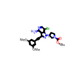 COc1cc(C#Cc2nn([C@H]3CCN(C(=O)OC(C)(C)C)C3)c3c(Br)cnc(N)c23)cc(OC)c1